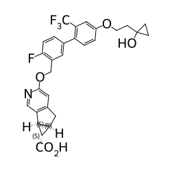 O=C(O)[C@H]1[C@@H]2Cc3cc(OCc4cc(-c5ccc(OCCC6(O)CC6)cc5C(F)(F)F)ccc4F)ncc3[C@@H]21